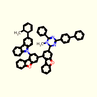 CC1C=CC=CC1c1ccc2c(c1)c1ccccc1n2-c1cc(-c2cc(C3N=C(c4ccc(-c5ccccc5)cc4)N=C(c4ccccc4)N3C)cc3oc4ccccc4c23)cc2oc3ccccc3c12